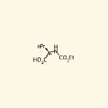 CCC[C@@H](NC(=O)OCC)C(=O)O